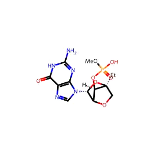 CC[C@@]12COC([C@H](n3cnc4c(=O)[nH]c(N)nc43)O1)[C@H]2OP(=O)(O)OC